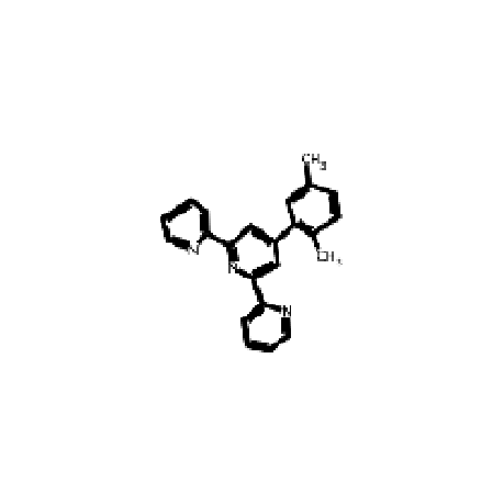 Cc1ccc(C)c(-c2cc(-c3ccccn3)nc(-c3ccccn3)c2)c1